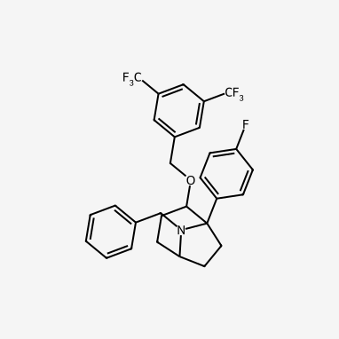 Fc1ccc(C23CCC(CCC2OCc2cc(C(F)(F)F)cc(C(F)(F)F)c2)N3Cc2ccccc2)cc1